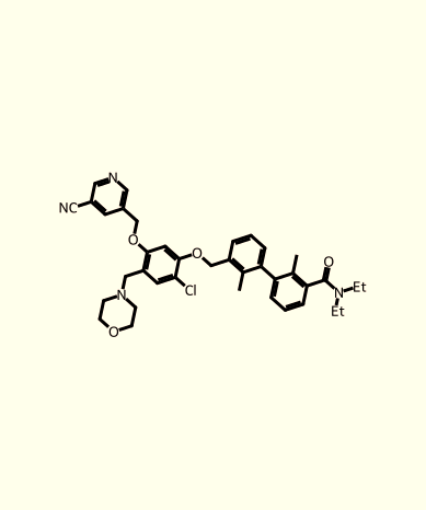 CCN(CC)C(=O)c1cccc(-c2cccc(COc3cc(OCc4cncc(C#N)c4)c(CN4CCOCC4)cc3Cl)c2C)c1C